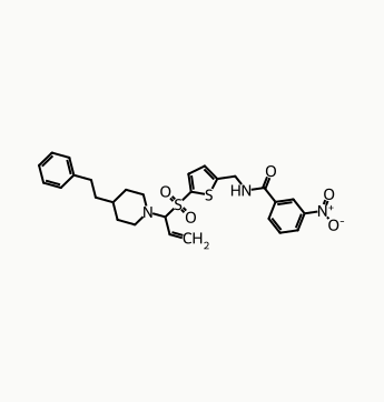 C=CC(N1CCC(CCc2ccccc2)CC1)S(=O)(=O)c1ccc(CNC(=O)c2cccc([N+](=O)[O-])c2)s1